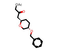 CC(=O)OCC(=O)C[C@H]1CC[C@H](OCc2ccccc2)CO1